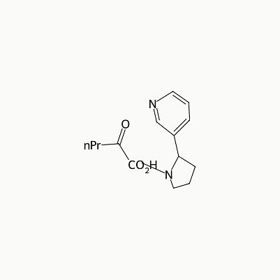 CCCC(=O)C(=O)O.CN1CCCC1c1cccnc1